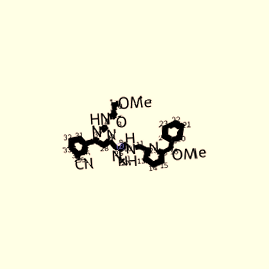 COCC(=O)Nc1nc(/C(=C/NCc2cccc(C(OC)c3ccccc3)n2)N=N)cc(-c2cccc(C#N)c2)n1